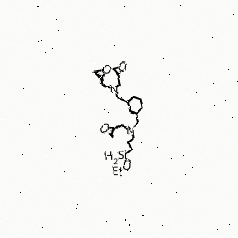 CCO[SiH2]CCCN(CC1CCCC(CN(CC2CO2)CC2CO2)C1)CC1CO1